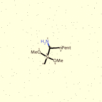 CCCCCC(N)[Si](C)(OC)OC